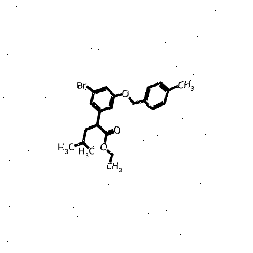 CCOC(=O)C(CC(C)C)c1cc(Br)cc(OCc2ccc(C)cc2)c1